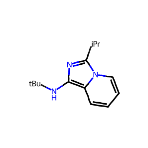 CC(C)c1nc(NC(C)(C)C)c2ccccn12